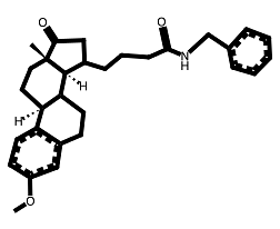 COc1ccc2c(c1)CCC1[C@@H]3C(CCCC(=O)NCc4ccccc4)CC(=O)[C@@]3(C)CC[C@H]21